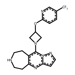 FC(F)(F)c1ccc(OC2CN(c3c4c(nc5ccnn35)CCNCC4)C2)nc1